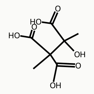 CC(O)(C(=O)O)C(C)(C(=O)O)C(=O)O